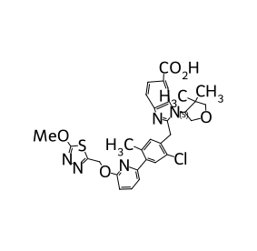 COc1nnc(COc2cccc(-c3cc(Cl)c(Cc4nc5ccc(C(=O)O)cc5n4[C@@H]4COCC4(C)C)cc3C)n2)s1